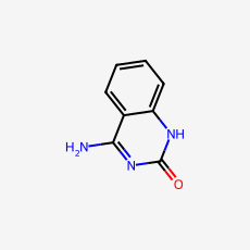 Nc1nc(=O)[nH]c2ccccc12